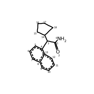 NC(=O)C(c1cccc2ccccc12)C1CCCC1